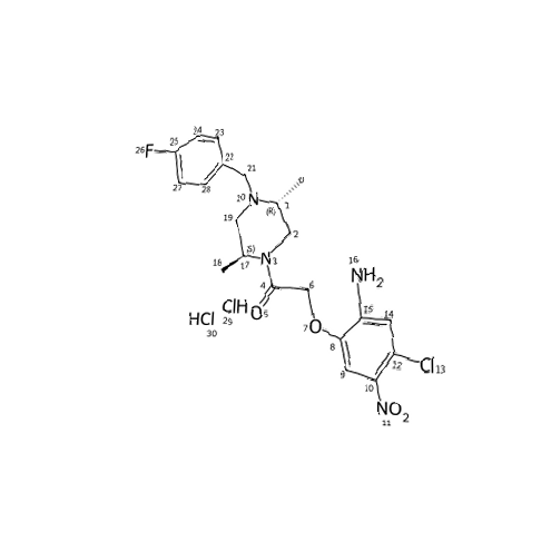 C[C@@H]1CN(C(=O)COc2cc([N+](=O)[O-])c(Cl)cc2N)[C@@H](C)CN1Cc1ccc(F)cc1.Cl.Cl